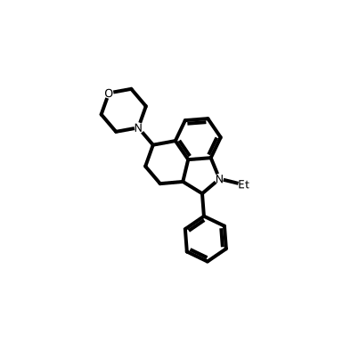 CCN1c2cccc3c2C(CCC3N2CCOCC2)C1c1ccccc1